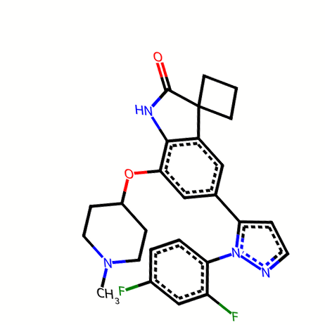 CN1CCC(Oc2cc(-c3ccnn3-c3ccc(F)cc3F)cc3c2NC(=O)C32CCC2)CC1